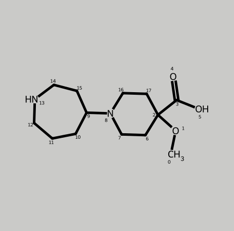 COC1(C(=O)O)CCN(C2CCCNCC2)CC1